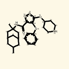 CC1CC2CC(C1)CC(C)(NC(=O)c1onc(OC3CCNCC3)c1Sc1ccccc1)C2